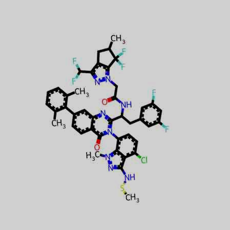 CSNc1nn(C)c2c(-n3c(C(Cc4cc(F)cc(F)c4)NC(=O)Cn4nc(C(F)F)c5c4C(F)(F)C(C)C5)nc4cc(-c5c(C)cccc5C)ccc4c3=O)ccc(Cl)c12